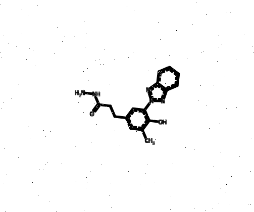 Cc1cc(CCC(=O)NN)cc(-n2nc3ccccc3n2)c1O